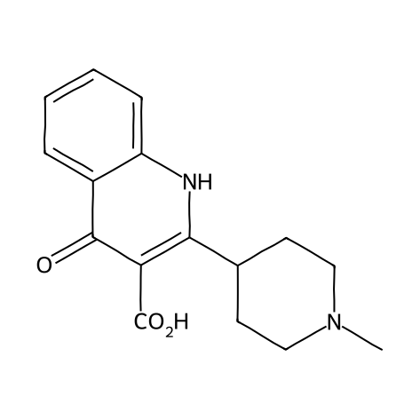 CN1CCC(c2[nH]c3ccccc3c(=O)c2C(=O)O)CC1